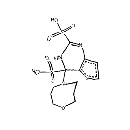 O=S(=O)(O)C1=Nc2ccsc2C(N2CCOCC2)(S(=O)(=O)O)N1